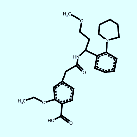 CCOc1cc(CC(=O)NC(CCOC)c2ccccc2N2CCCCC2)ccc1C(=O)O